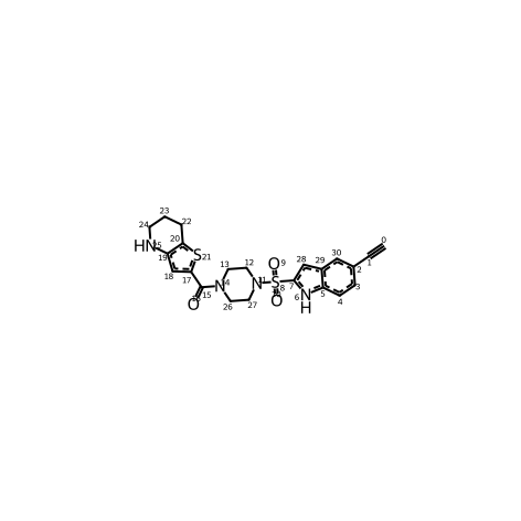 C#Cc1ccc2[nH]c(S(=O)(=O)N3CCN(C(=O)c4cc5c(s4)CCCN5)CC3)cc2c1